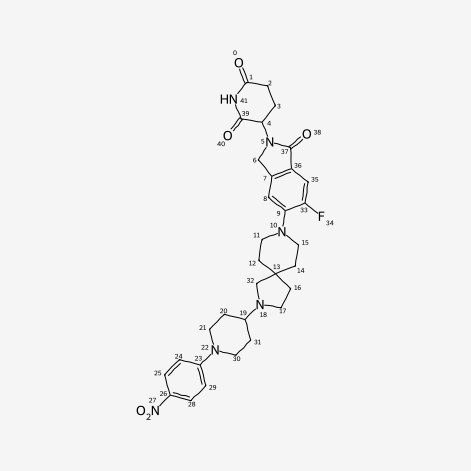 O=C1CCC(N2Cc3cc(N4CCC5(CC4)CCN(C4CCN(c6ccc([N+](=O)[O-])cc6)CC4)C5)c(F)cc3C2=O)C(=O)N1